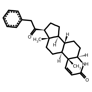 C[C@]12C=CC(=O)N[C@@H]1CC[C@@H]1[C@@H]2CC[C@]2(C)[C@@H](C(=O)Cc3ccccc3)CC[C@@H]12